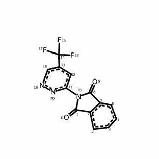 O=C1c2ccccc2C(=O)N1c1cc(C(F)(F)F)cnn1